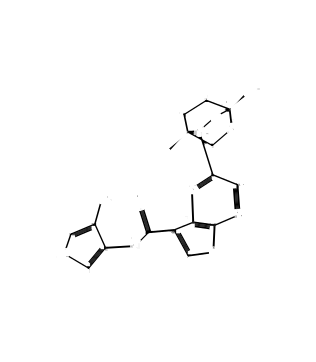 N#Cc1cscc1NC(=O)c1csc2ncc(N3C[C@@H]4CC[C@H]3CN4)nc12